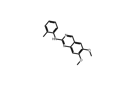 COc1cc2cnc(Nc3ccccc3C)nc2cc1OC